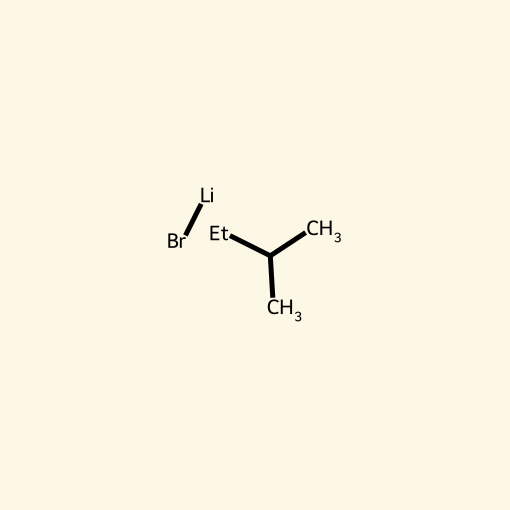 [CH2]CC(C)C.[Li][Br]